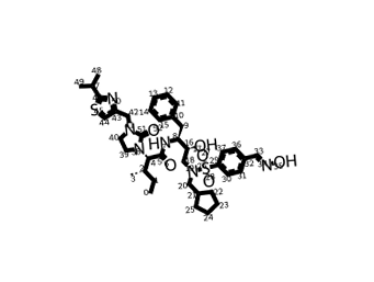 CC[C@H](C)[C@@H](C(=O)N[C@@H](Cc1ccccc1)[C@H](O)CN(CC1CCCC1)S(=O)(=O)c1ccc(/C=N/O)cc1)N1CCN(Cc2csc(C(C)C)n2)C1=O